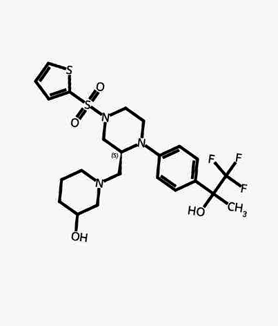 CC(O)(c1ccc(N2CCN(S(=O)(=O)c3cccs3)C[C@@H]2CN2CCCC(O)C2)cc1)C(F)(F)F